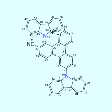 N#Cc1cccc(-c2ccc(-n3c4ccccc4c4ccccc43)cc2)c1-c1cccc(C#N)c1-n1c2ccccc2c2ccccc21